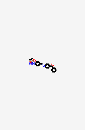 CC(C)S(=O)(=O)Nc1ccc(CNc2ccc(C(=O)c3ccccc3)cc2)cc1